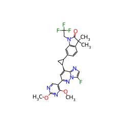 COc1ncc(-c2cc([C@H]3CC3c3ccc4c(c3)N(CC(F)(F)F)C(=O)C4(C)C)c3ncc(F)n3n2)c(OC)n1